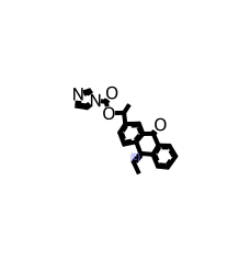 C/C=C1\c2ccccc2C(=O)c2cc(C(C)OC(=O)n3ccnc3)ccc21